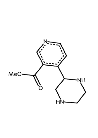 COC(=O)c1cnccc1C1CNCCN1